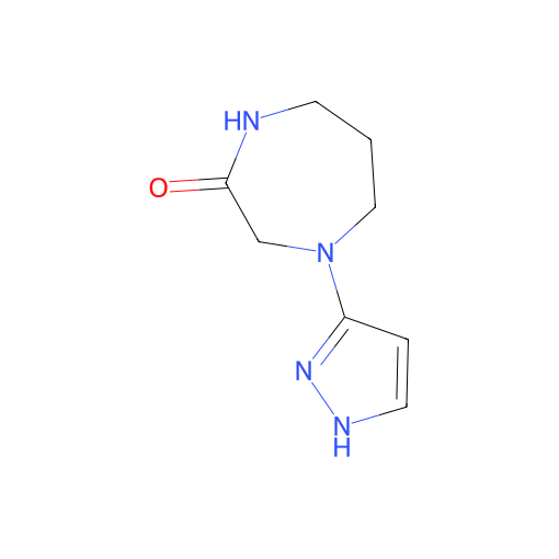 O=C1CN(c2cc[nH]n2)CCCN1